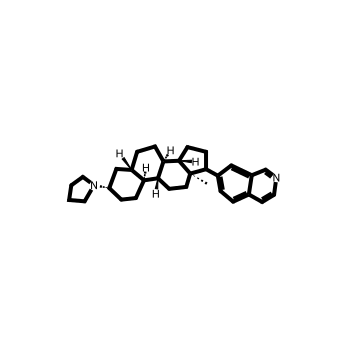 C[C@]12CC[C@H]3[C@@H](CC[C@H]4C[C@@H](N5CCCC5)CC[C@@H]43)[C@@H]1CCC2c1ccc2ccncc2c1